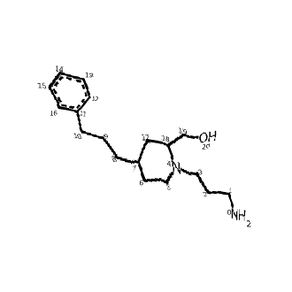 NCCCN1CCC(CCCc2ccccc2)CC1CO